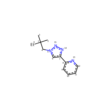 CCC(C)(C)Cn1cc(-c2ccccn2)nn1